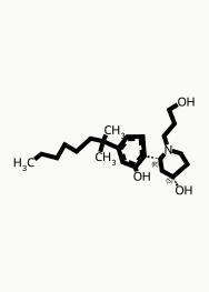 CCCCCCC(C)(C)c1ccc([C@H]2C[C@@H](O)CCN2CCCO)c(O)c1